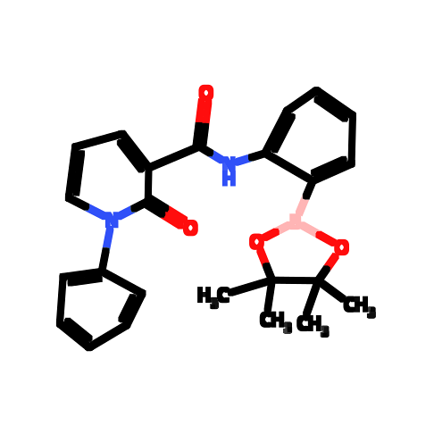 CC1(C)OB(c2ccccc2NC(=O)c2cccn(-c3ccccc3)c2=O)OC1(C)C